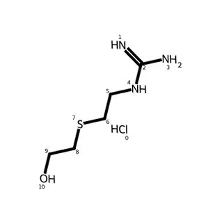 Cl.N=C(N)NCCSCCO